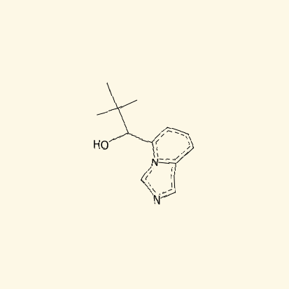 CC(C)(C)C(O)c1cccc2cncn12